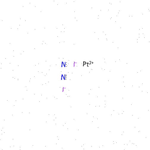 [I-].[I-].[N].[N].[Pt+2]